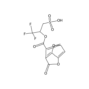 O=C(OC(CS(=O)(=O)O)C(F)(F)F)c1c2c3oc1cc3OC2=O